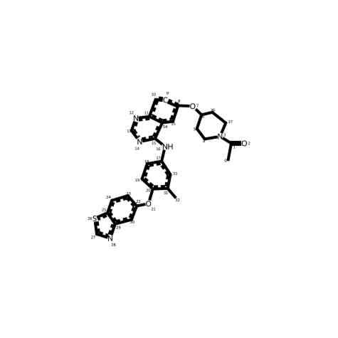 CC(=O)N1CCC(Oc2ccc3ncnc(Nc4ccc(Oc5ccc6scnc6c5)c(C)c4)c3c2)CC1